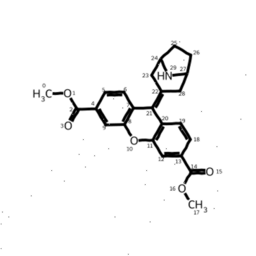 COC(=O)c1ccc2c(c1)Oc1cc(C(=O)OC)ccc1C2=C1CC2CCC(C1)N2